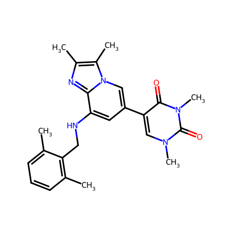 Cc1cccc(C)c1CNc1cc(-c2cn(C)c(=O)n(C)c2=O)cn2c(C)c(C)nc12